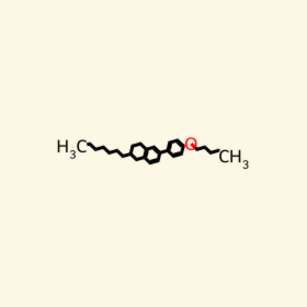 CCCCCCCC1CCc2cc(-c3ccc(OCCCCC)cc3)ccc2C1